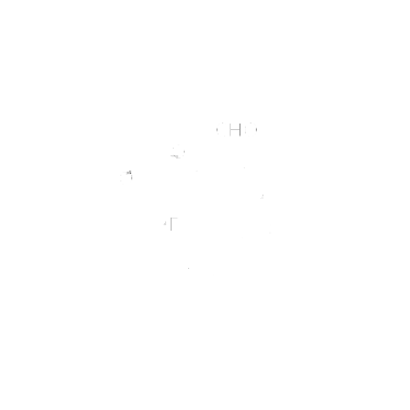 O=Cc1cc(C2CC2)c(-c2ccccc2F)cc1OC1COC1